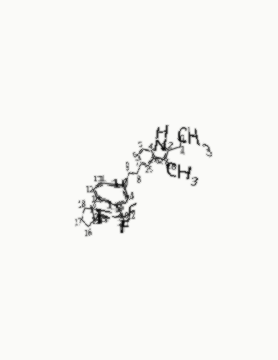 CCc1[nH]c2ccc(CCc3ccc(C4CCCC4)c(C(F)(F)F)c3)cc2c1C